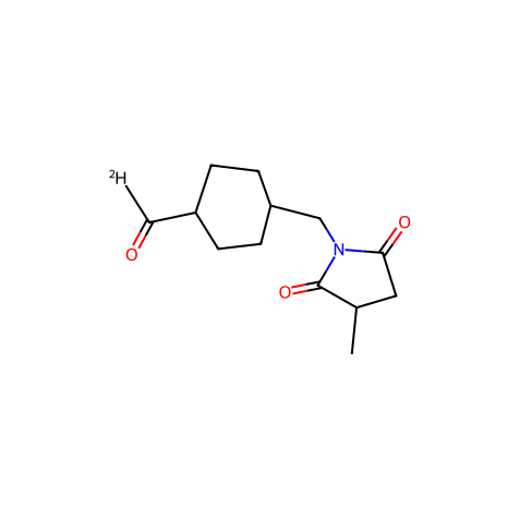 [2H]C(=O)C1CCC(CN2C(=O)CC(C)C2=O)CC1